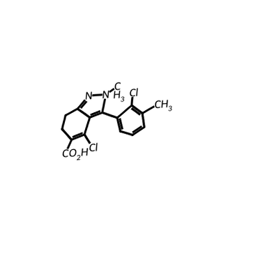 Cc1cccc(-c2c3c(nn2C)CCC(C(=O)O)=C3Cl)c1Cl